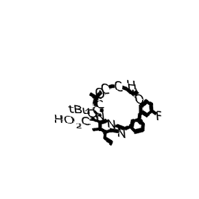 C=Cc1c(C)c([C@H](OC(C)(C)C)C(=O)O)c2n3cc(nc13)-c1cccc(c1)-c1cc(F)ccc1O[C@@H](C)CCCCOC1(C)CCN2CC1